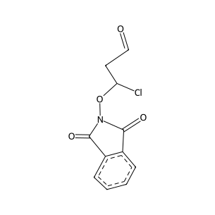 O=CCC(Cl)ON1C(=O)c2ccccc2C1=O